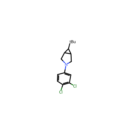 CC(C)(C)C1C2CN(c3ccc(Cl)c(Cl)c3)CC21